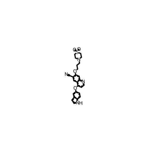 N#Cc1cc2c(Oc3ccc4[nH]ccc4c3)ccnc2cc1OCCCN1CCS(=O)(=O)CC1